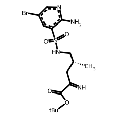 C[C@@H](CNS(=O)(=O)c1cc(Br)cnc1N)CC(=N)C(=O)OC(C)(C)C